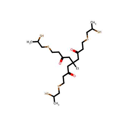 CCC(CC(=O)CCSCC(C)S)(CC(=O)CCSCC(C)S)CC(=O)CCSCC(C)S